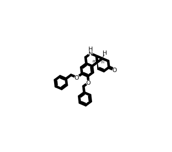 O=C1C=C[C@@]23c4cc(OCc5ccccc5)c(OCc5ccccc5)cc4CNC2[C@H]3C1